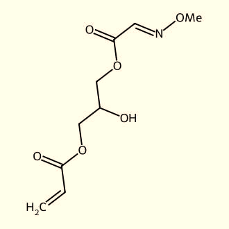 C=CC(=O)OCC(O)COC(=O)C=NOC